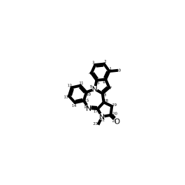 Cc1cccc2c1cc1n2-c2ccccc2N=C2C1CC(=O)N2C